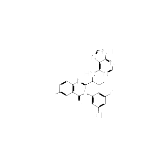 CCC(Nc1ncnc2[nH]cnc12)c1nc2ccc(F)cc2c(=O)n1-c1cc(Cl)cc(Cl)c1